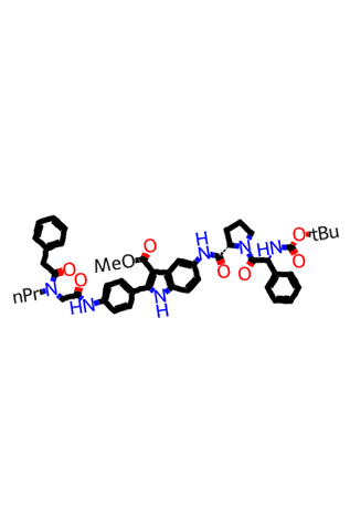 CCCN(CC(=O)Nc1ccc(-c2[nH]c3ccc(NC(=O)[C@@H]4CCCN4C(=O)[C@H](NC(=O)OC(C)(C)C)c4ccccc4)cc3c2C(=O)OC)cc1)C(=O)Cc1ccccc1